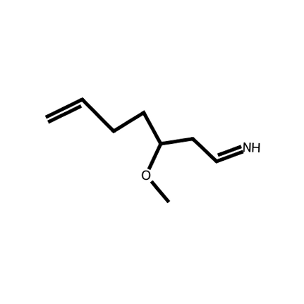 C=CCCC(CC=N)OC